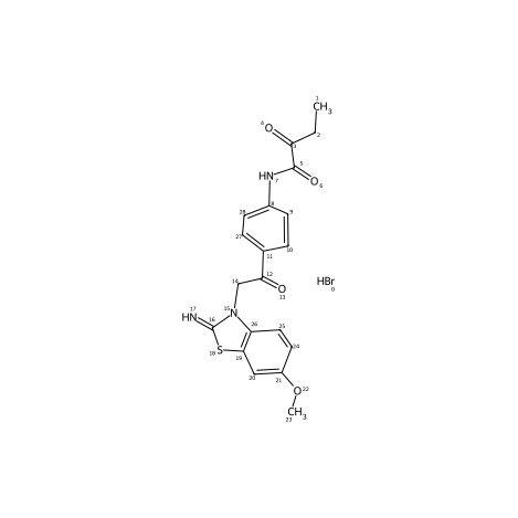 Br.CCC(=O)C(=O)Nc1ccc(C(=O)Cn2c(=N)sc3cc(OC)ccc32)cc1